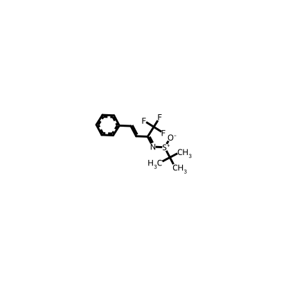 CC(C)(C)[S+]([O-])/N=C(/C=C/c1ccccc1)C(F)(F)F